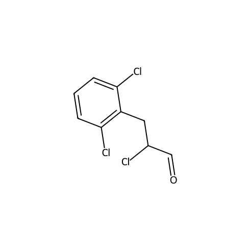 O=CC(Cl)Cc1c(Cl)cccc1Cl